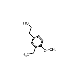 CCc1cc(CCO)ncc1OC